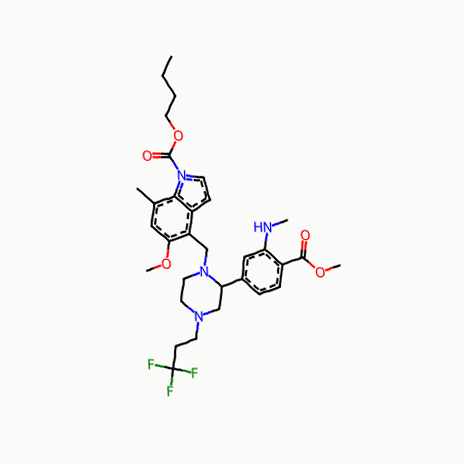 CCCCOC(=O)n1ccc2c(CN3CCN(CCC(F)(F)F)CC3c3ccc(C(=O)OC)c(NC)c3)c(OC)cc(C)c21